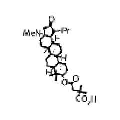 CN[C@@]12CC[C@]3(C)[C@H](CC[C@@H]4[C@@]5(C)CC[C@H](OC(=O)CC(C)(C)C(=O)O)C(C)(C)[C@@H]5CC[C@]43C)C1=C(C(C)C)C(=O)C2